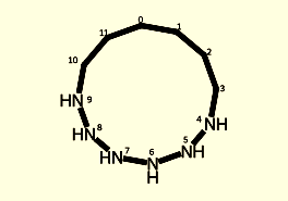 C1CCCNNNNNNCC1